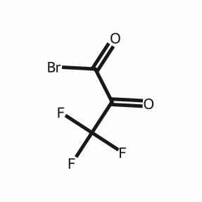 O=C(Br)C(=O)C(F)(F)F